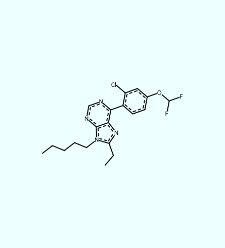 CCCCCn1c(CC)nc2c(-c3ccc(OC(F)F)cc3Cl)ncnc21